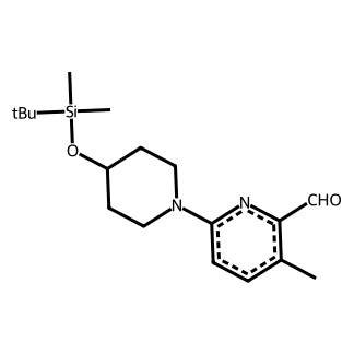 Cc1ccc(N2CCC(O[Si](C)(C)C(C)(C)C)CC2)nc1C=O